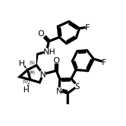 Cc1nc(C(=O)N2C[C@H]3C[C@H]3[C@H]2CNC(=O)c2ccc(F)cc2)c(-c2cccc(F)c2)s1